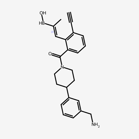 C#Cc1cccc(C(=O)N2CCC(c3cccc(CN)c3)CC2)c1/C=C(\C)BO